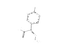 CON=C(C(=O)Cl)c1ccc(Cl)cc1